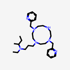 CCC(C)N(CC)CCCN1CCN(Cc2ccccn2)CCNCCN(Cc2ccccn2)CC1